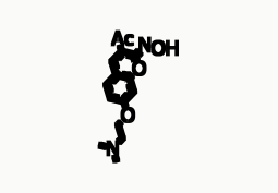 CC(=O)c1cc2ccc(OCCN(C)C)cc2oc1=NO